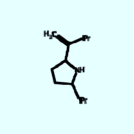 C=C(C(C)C)C1CCC(C(C)C)N1